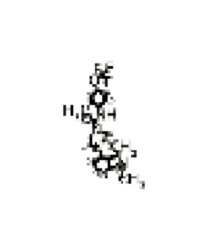 Cc1cc(OC(F)(F)F)ccc1NC(=O)N1CCN(c2ccnc3c2cnn3C)[C@@H](C)C1